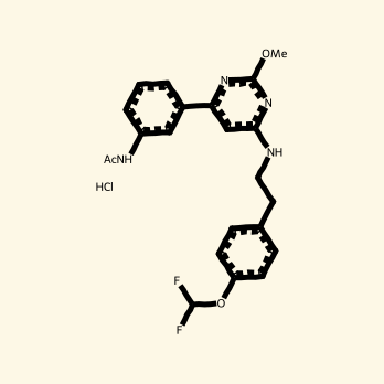 COc1nc(NCCc2ccc(OC(F)F)cc2)cc(-c2cccc(NC(C)=O)c2)n1.Cl